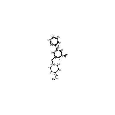 COC1CCN(Cc2cc(F)cc(-c3ccccn3)c2)CC1